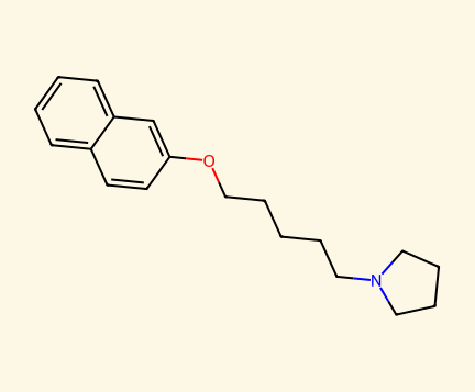 c1ccc2cc(OCCCCCN3CCCC3)ccc2c1